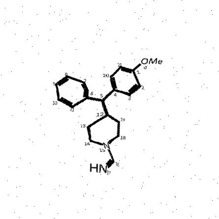 COc1ccc(C(c2ccccc2)C2CCN(C=N)CC2)cc1